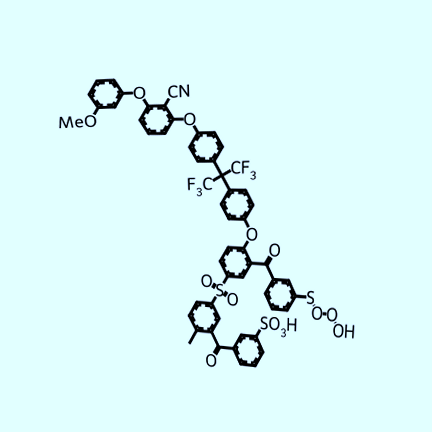 COc1cccc(Oc2cccc(Oc3ccc(C(c4ccc(Oc5ccc(S(=O)(=O)c6ccc(C)c(C(=O)c7cccc(S(=O)(=O)O)c7)c6)cc5C(=O)c5cccc(SOOO)c5)cc4)(C(F)(F)F)C(F)(F)F)cc3)c2C#N)c1